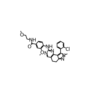 COCCNC(=O)c1ccc(Nc2ncc3c(n2)-c2c(nn(C)c2-c2ccccc2Cl)CC3)c(OC)c1